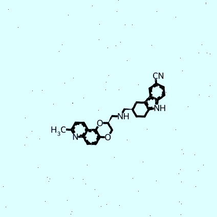 Cc1ccc2c3c(ccc2n1)OC[C@H](CNC[C@@H]1CCc2[nH]c4ccc(C#N)cc4c2C1)O3